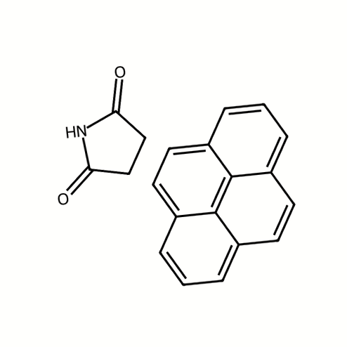 O=C1CCC(=O)N1.c1cc2ccc3cccc4ccc(c1)c2c34